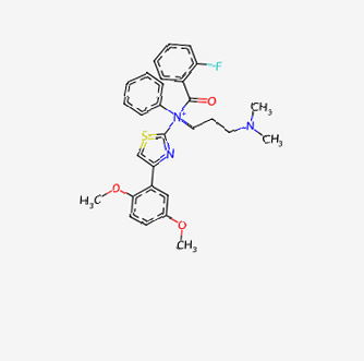 COc1ccc(OC)c(-c2csc([N+](CCCN(C)C)(C(=O)c3ccccc3F)c3ccccc3)n2)c1